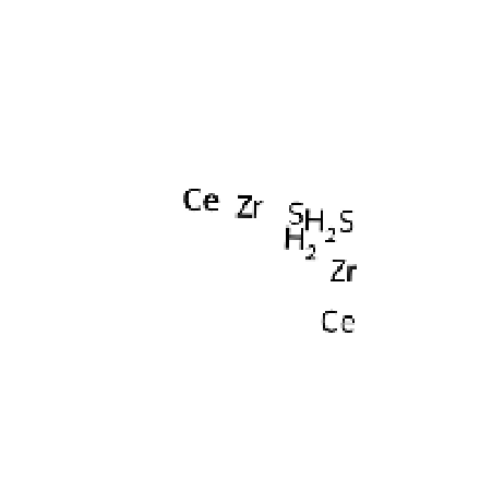 S.S.[Ce].[Ce].[Zr].[Zr]